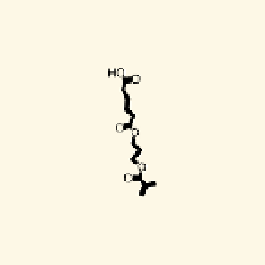 C=C(C)C(=O)OCCCOC(=O)CCCCC(=O)O